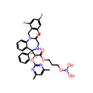 Cc1cc(C)nc(O[C@H](C(=O)OCCCON(O)O)[C@@]2(c3ccccc3)NCC(=O)N(Cc3c(F)cc(F)cc3F)c3ccccc32)n1